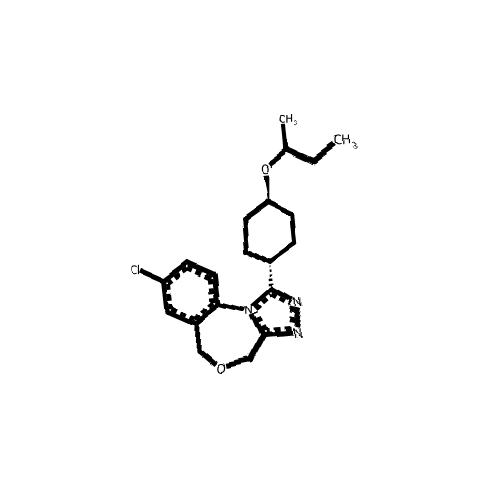 CCC(C)O[C@H]1CC[C@H](c2nnc3n2-c2ccc(Cl)cc2COC3)CC1